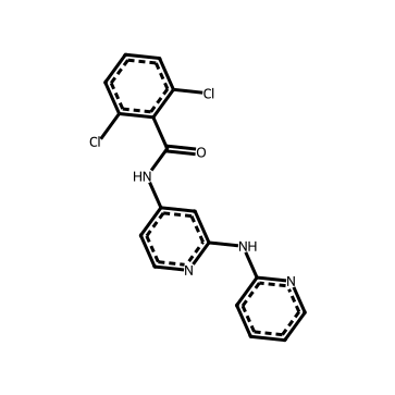 O=C(Nc1ccnc(Nc2ccccn2)c1)c1c(Cl)cccc1Cl